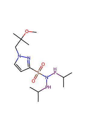 COC(C)(C)Cn1ccc(S(=O)(=O)N(PC(C)C)PC(C)C)n1